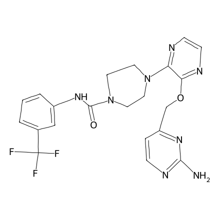 Nc1nccc(COc2nccnc2N2CCN(C(=O)Nc3cccc(C(F)(F)F)c3)CC2)n1